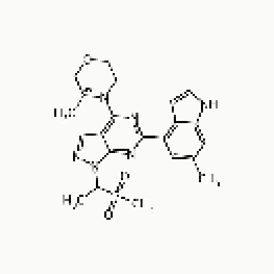 Cc1cc(-c2nc(N3CCOC[C@H]3C)c3cnn(C(C)S(C)(=O)=O)c3n2)c2cc[nH]c2c1